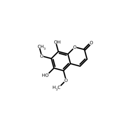 COc1c(O)c(OC)c2ccc(=O)oc2c1O